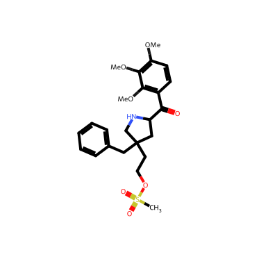 COc1ccc(C(=O)C2CC(CCOS(C)(=O)=O)(Cc3ccccc3)CN2)c(OC)c1OC